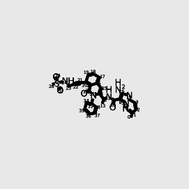 Cc1ccc2nc(N)c(C(=O)NC(C)c3cc4cccc(C#CCNS(C)(=O)=O)c4c(=O)n3-c3ccccc3)n2n1